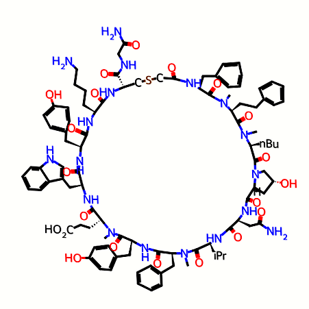 CCCC[C@H]1C(=O)N2C[C@H](O)C[C@@H]2C(=O)N[C@@H](CC(N)=O)C(=O)N[C@@H](C(C)C)C(=O)N(C)[C@@H](Cc2ccccc2)C(=O)N[C@@H](Cc2ccc(O)cc2)C(=O)N(C)[C@H](CCC(=O)O)C(=O)N[C@@H](Cc2c[nH]c3ccccc23)C(=O)N[C@@H](Cc2ccc(O)cc2)C(=O)N[C@@H](CCCCN)C(=O)N[C@H](C(=O)NCC(N)=O)CSCC(=O)N[C@@H](Cc2ccccc2)C(=O)N(C)[C@@H](CCc2ccccc2)C(=O)N1C